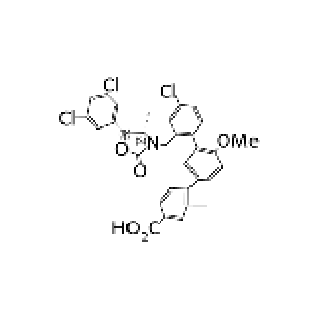 COc1ccc(-c2ccc(C(=O)O)cc2C)cc1-c1ccc(Cl)cc1CN1C(=O)O[C@H](c2cc(Cl)cc(Cl)c2)[C@@H]1C